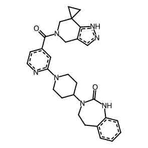 O=C(c1ccnc(N2CCC(N3CCc4ccccc4NC3=O)CC2)c1)N1Cc2cn[nH]c2C2(CC2)C1